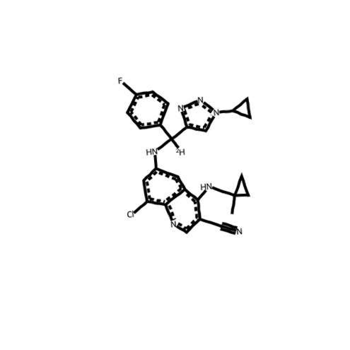 [2H]C(Nc1cc(Cl)c2ncc(C#N)c(NC3(C)CC3)c2c1)(c1ccc(F)cc1)c1cn(C2CC2)nn1